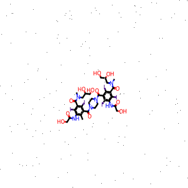 Cc1c(NC(=O)CO)c(I)c(C(=O)N(C)CC(O)CO)c(I)c1C(=O)N1CCN(C(=O)c2c(I)c(NC(=O)CO)c(I)c(C(=O)N(C)CC(O)CO)c2I)CC1